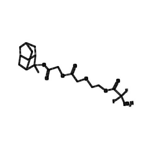 CC1(OC(=O)COC(=O)COCCOC(=O)C(F)(F)S(=O)(=O)O)C2CC3CC(C2)CC1C3